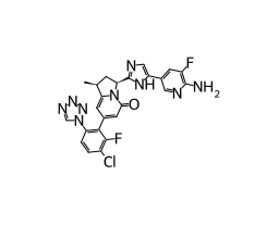 C[C@H]1C[C@@H](c2ncc(-c3cnc(N)c(F)c3)[nH]2)n2c1cc(-c1c(-n3cnnn3)ccc(Cl)c1F)cc2=O